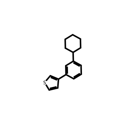 c1cc(-c2ccsc2)cc(C2CCCCC2)c1